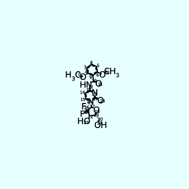 COc1cccc(OC)c1C(=O)Nc1ccn(C2O[C@H](CO)[C@@H](O)C2(F)F)c(=O)n1